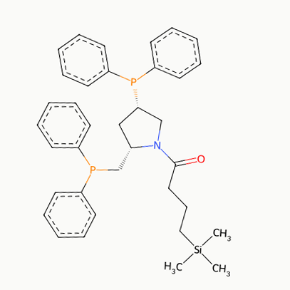 C[Si](C)(C)CCCC(=O)N1C[C@@H](P(c2ccccc2)c2ccccc2)C[C@H]1CP(c1ccccc1)c1ccccc1